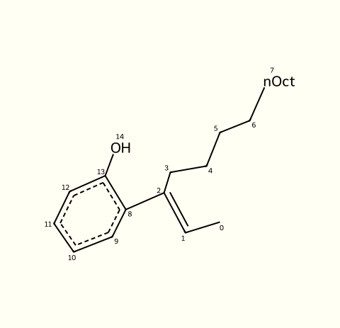 CC=C(CCCCCCCCCCCC)c1ccccc1O